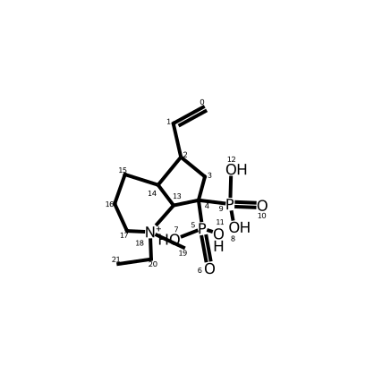 C=CC1CC(P(=O)(O)O)(P(=O)(O)O)C2C1CCC[N+]2(C)CC